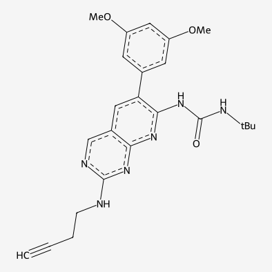 C#CCCNc1ncc2cc(-c3cc(OC)cc(OC)c3)c(NC(=O)NC(C)(C)C)nc2n1